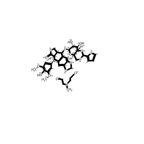 CN(CCCl)CCCl.COc1cc([C@@H]2c3cc4c(cc3C(O[C@@H]3O[C@@H]5COC(c6cccs6)O[C@H]5[C@H](O)[C@H]3O)C3COC(=O)[C@@H]32)OCO4)cc(OC)c1O